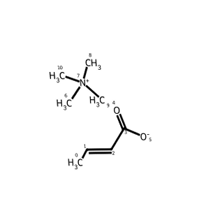 CC=CC(=O)[O-].C[N+](C)(C)C